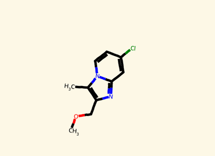 COCc1nc2cc(Cl)ccn2c1C